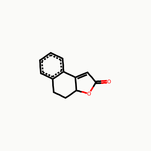 O=C1C=C2c3ccccc3CCC2O1